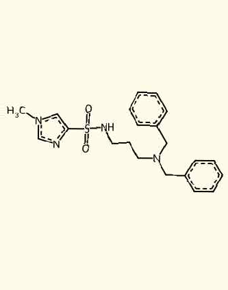 Cn1cnc(S(=O)(=O)NCCCN(Cc2ccccc2)Cc2ccccc2)c1